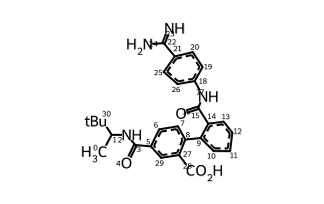 CC(NC(=O)c1ccc(-c2ccccc2C(=O)Nc2ccc(C(=N)N)cc2)c(C(=O)O)c1)C(C)(C)C